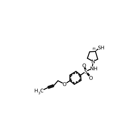 CC#CCOc1ccc(S(=O)(=O)NN2CC[C@@H](S)C2)cc1